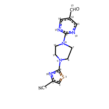 N#Cc1csc(N2CCN(c3ncc(C=O)cn3)CC2)n1